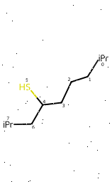 CC(C)CCCC(S)CC(C)C